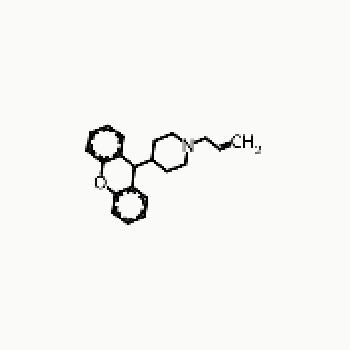 C=CCN1CCC(C2c3ccccc3Oc3ccccc32)CC1